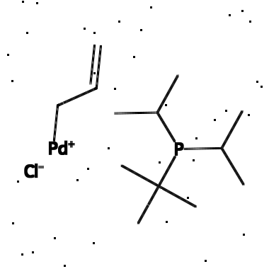 C=C[CH2][Pd+].CC(C)P(C(C)C)C(C)(C)C.[Cl-]